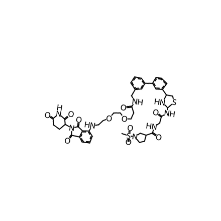 CS(=O)(=O)N1CCC(C(=O)NCC(=O)NC2NC(c3cccc(-c4cccc(CNC(=O)CCOCCOCCNc5cccc6c5C(=O)N(C5CCC(=O)NC5=O)C6=O)c4)c3)CS2)C1